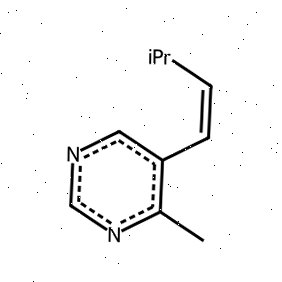 Cc1ncncc1/C=C\C(C)C